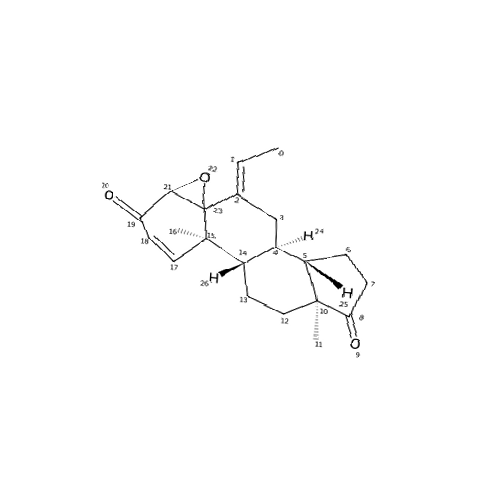 C/C=C1\C[C@H]2[C@@H]3CCC(=O)[C@@]3(C)CC[C@@H]2[C@@]2(C)C=CC(=O)C3OC132